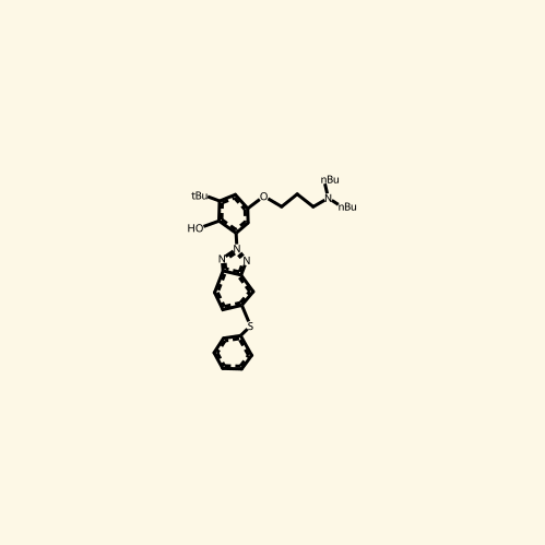 CCCCN(CCCC)CCCOc1cc(-n2nc3ccc(Sc4ccccc4)cc3n2)c(O)c(C(C)(C)C)c1